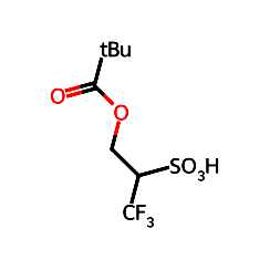 CC(C)(C)C(=O)OCC(C(F)(F)F)S(=O)(=O)O